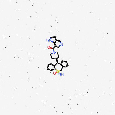 N=S1(=O)Cc2ccccc2C(=C2CCN(C(=O)c3cncc4cc[nH]c34)CC2)c2ccccc21